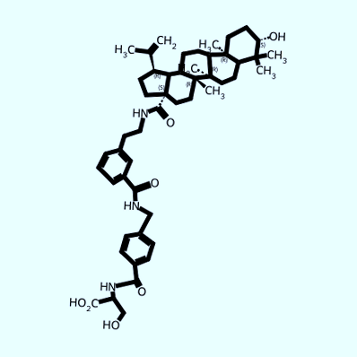 C=C(C)[C@@H]1CC[C@]2(C(=O)NCCc3cccc(C(=O)NCc4ccc(C(=O)NC(CO)C(=O)O)cc4)c3)CC[C@]3(C)C(CCC4[C@@]5(C)CC[C@H](O)C(C)(C)C5CC[C@]43C)C12